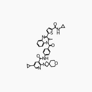 C[C@@H]1C(c2ccc(C(=O)NC3CC3)s2)=Nc2ccccc2N1C(=O)c1ccc(NC(=O)c2cc(C3CC3)cnc2N2CC3(CCOCC3)C2)cc1